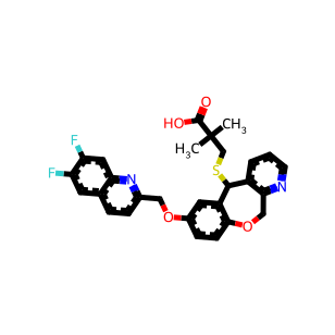 CC(C)(CSC1c2cc(OCc3ccc4cc(F)c(F)cc4n3)ccc2OCc2ncccc21)C(=O)O